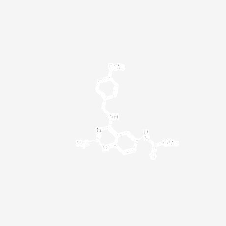 COC(=O)Nc1ccc2nc(C)nc(NCc3ccc(OC)cc3)c2c1